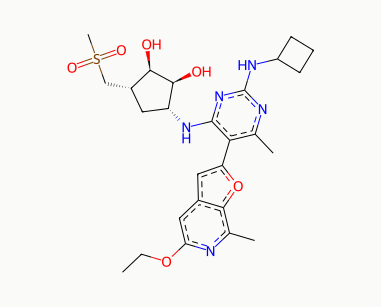 CCOc1cc2cc(-c3c(C)nc(NC4CCC4)nc3N[C@@H]3C[C@H](CS(C)(=O)=O)[C@@H](O)[C@H]3O)oc2c(C)n1